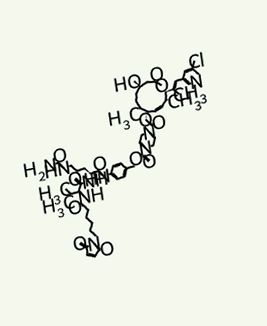 C/C(=C\c1cncc(Cl)c1)[C@@H]1OC(=O)C[C@H](O)CC[C@@H](C)[C@@H](OC(=O)N2CCN(C(=O)OCc3ccc(NC(=O)[C@H](CCCNC(N)=O)NC(=O)[C@@H](NC(=O)CCCCCN4C(=O)C=CC4=O)C(C)C)cc3)CC2)C=C[C@H]1C